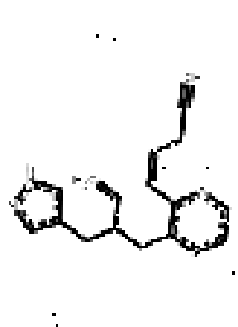 C#CC/C=C\c1ncccc1CC(C=C)Cc1cn[nH]c1